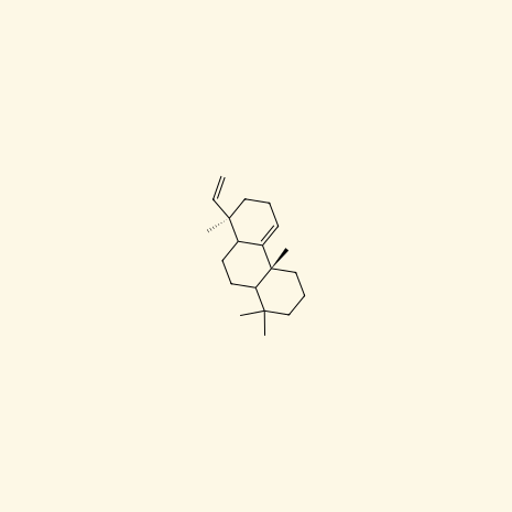 C=C[C@@]1(C)CCC=C2C1CCC1C(C)(C)CCC[C@@]21C